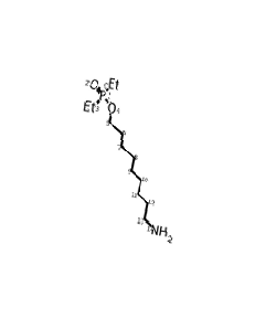 CCP(=O)(CC)OCCCCCCCCCN